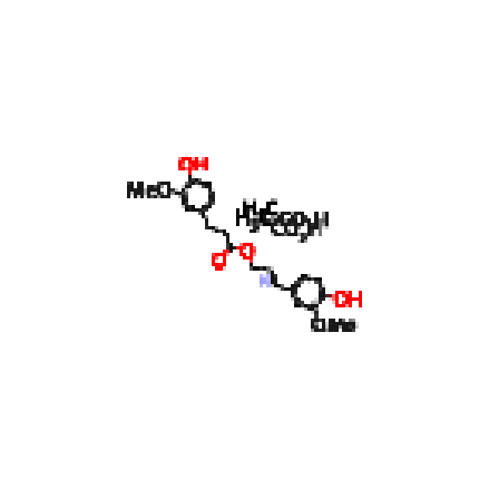 CC(=O)O.CC(=O)O.COc1cc(/C=C/COC(=O)CCc2ccc(O)c(OC)c2)ccc1O